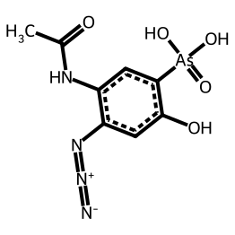 CC(=O)Nc1cc([As](=O)(O)O)c(O)cc1N=[N+]=[N-]